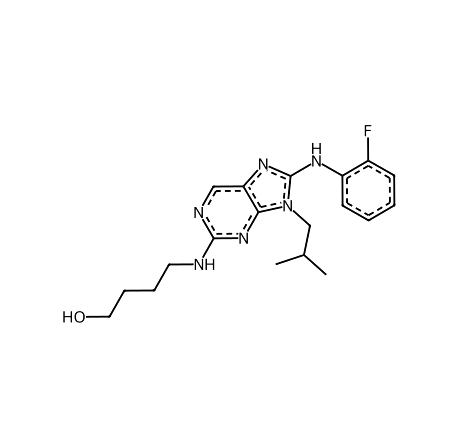 CC(C)Cn1c(Nc2ccccc2F)nc2cnc(NCCCCO)nc21